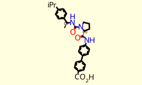 CC(C)c1ccc([C@H](C)NC(=O)N2CCC[C@@H]2C(=O)Nc2ccc(-c3ccc(C(=O)O)cc3)cc2)cc1